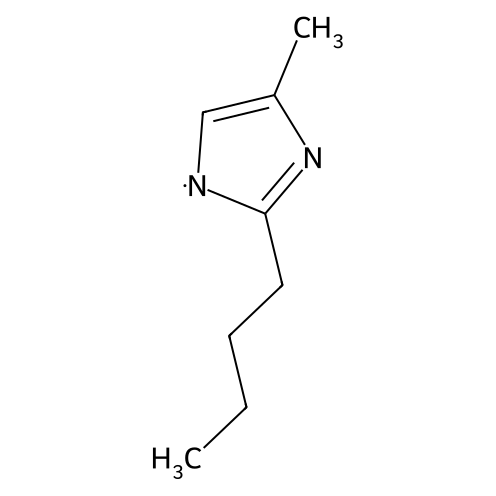 CCCCC1=NC(C)=C[N]1